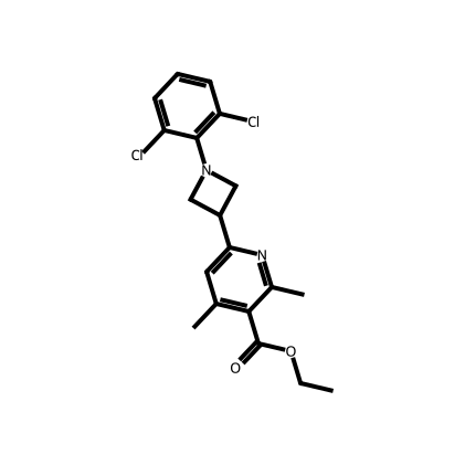 CCOC(=O)c1c(C)cc(C2CN(c3c(Cl)cccc3Cl)C2)nc1C